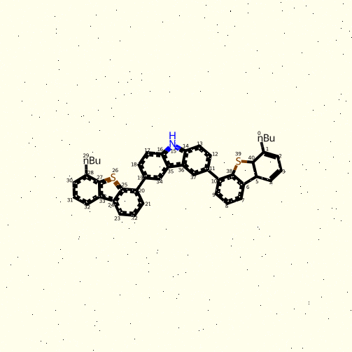 CCCCC1=CC=CC2c3cccc(-c4ccc5[nH]c6ccc(-c7cccc8c7sc7c(CCCC)cccc78)cc6c5c4)c3SC12